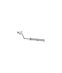 CCB=[Si]=S